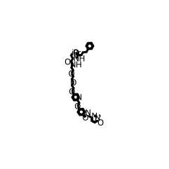 CC(C)CC(NC(=O)CCCc1ccccc1)C(=O)NCCOCCOCCOc1ccc(COc2ccc3oc(-c4ccc(=O)n(C)n4)nc3c2)nc1